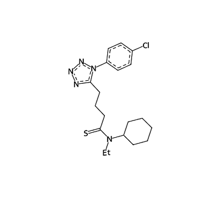 CCN(C(=S)CCCc1nnnn1-c1ccc(Cl)cc1)C1CCCCC1